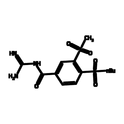 CCCCS(=O)(=O)c1ccc(C(=O)NC(=N)N)cc1S(C)(=O)=O